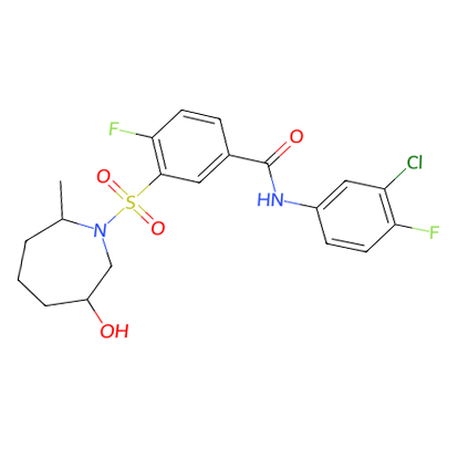 CC1CCCC(O)CN1S(=O)(=O)c1cc(C(=O)Nc2ccc(F)c(Cl)c2)ccc1F